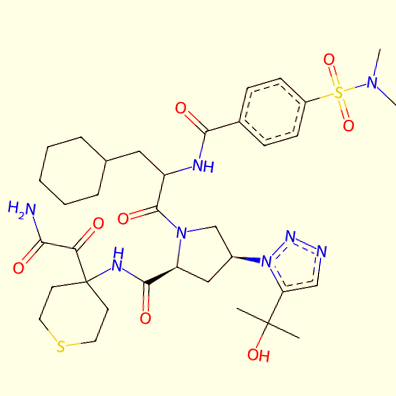 CN(C)S(=O)(=O)c1ccc(C(=O)NC(CC2CCCCC2)C(=O)N2C[C@@H](n3nncc3C(C)(C)O)C[C@H]2C(=O)NC2(C(=O)C(N)=O)CCSCC2)cc1